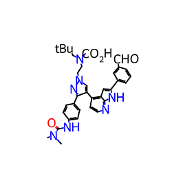 CN(C)C(=O)Nc1ccc(-c2nn(CCN(CC(C)(C)C)C(=O)O)cc2-c2ccnc3[nH]c(-c4cccc(C=O)c4)cc23)cc1